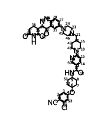 N#Cc1ccc(O[C@H]2CC[C@H](NC(=O)c3ccc(N4CCC(CN5CCN(c6ccc7c(c6)C(=O)C(C6CCC(=O)NC6=O)N=N7)CC5)CC4)nc3)CC2)cc1Cl